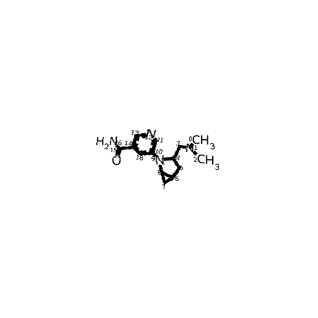 CN(C)CC1CC2CC2N1c1cncc(C(N)=O)c1